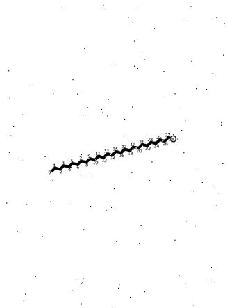 CCCCCCCCCCCCCCCCCCCCCCCCCCCC[O]